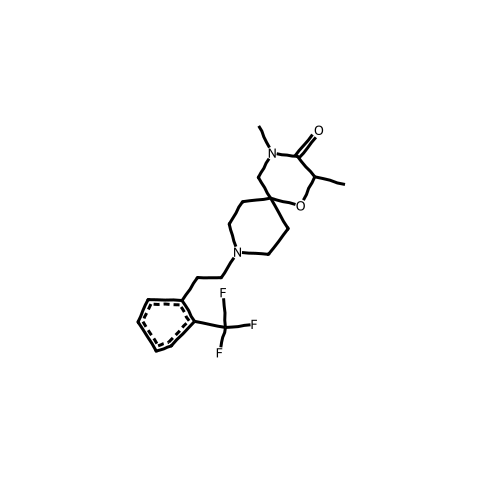 CC1OC2(CCN(CCc3ccccc3C(F)(F)F)CC2)CN(C)C1=O